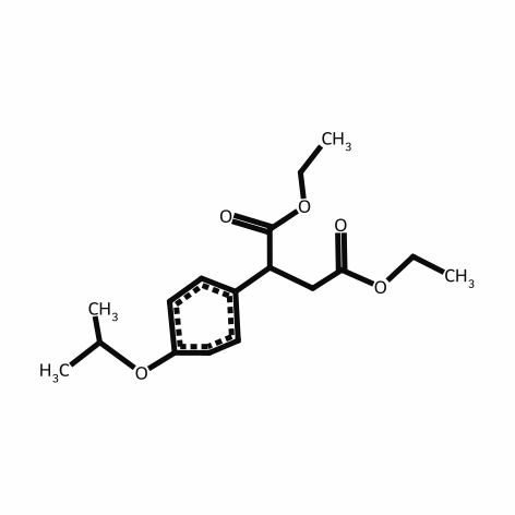 CCOC(=O)CC(C(=O)OCC)c1ccc(OC(C)C)cc1